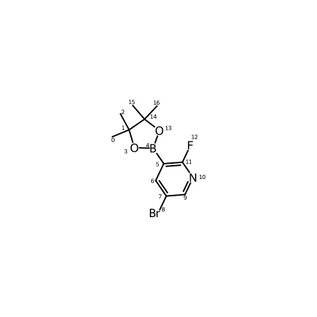 CC1(C)OB(c2cc(Br)cnc2F)OC1(C)C